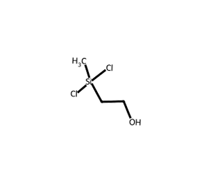 C[Si](Cl)(Cl)CCO